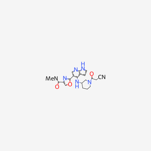 CNC(=O)c1coc(-c2cnc3[nH]ccc3c2NC2CCCN(C(=O)CC#N)C2)n1